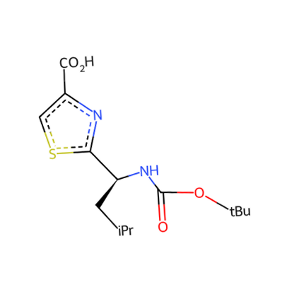 CC(C)C[C@H](NC(=O)OC(C)(C)C)c1nc(C(=O)O)cs1